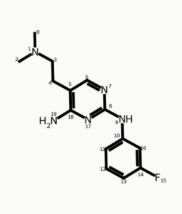 CN(C)CCc1cnc(Nc2cccc(F)c2)nc1N